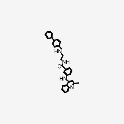 Cc1cc(Nc2cccc(C(=O)NCCNCc3ccc(-c4ccccc4)cc3)c2)c2ccccc2n1